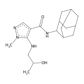 CC(O)CNc1c(C(=O)NC2C3CC4CC(C3)CC2C4)cnn1C